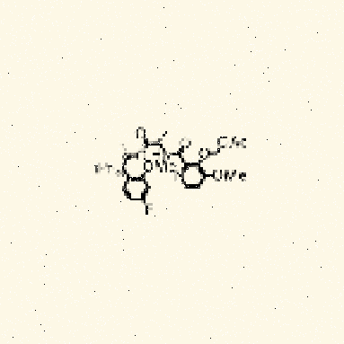 COc1cc(F)ccc1[C@H](C(C)C)[C@H](C)OC(=O)[C@H](C)NC(=O)c1nccc(OC)c1OCOC(C)=O